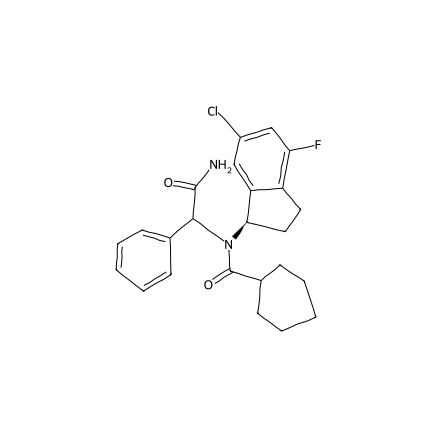 NC(=O)C(c1ccccc1)N(C(=O)C1CCCCC1)[C@@H]1CCc2c(F)cc(Cl)cc21